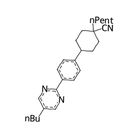 CCCCCC1(C#N)CCC(c2ccc(-c3ncc(CCCC)cn3)cc2)CC1